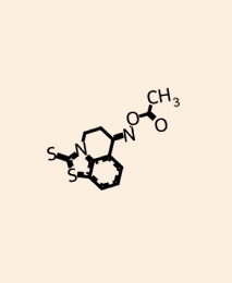 CC(=O)O/N=C1\CCn2c(=S)sc3cccc1c32